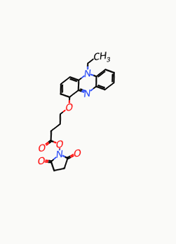 CCN1C2=CC=CC(OCCCC(=O)ON3C(=O)CCC3=O)C2=Nc2ccccc21